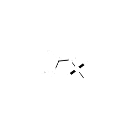 CC[C@H](NS(C)(=O)=O)C(=O)O